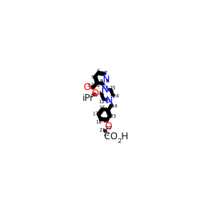 CC(C)OC(=O)c1cccnc1N1CCN(Cc2cccc(OCC(=O)O)c2)CC1